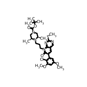 COc1cc(OC)c(Cl)c(-c2cc3cnc(SC)nc3n(CCCN3[C@H](C)CN(C(=O)OC(C)(C)C)C[C@@H]3C)c2=O)c1